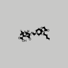 CCCCN1C(=O)CSC12CCN(C=N[C@@H]1C(=O)N3[C@@H]1SC(C)(C)[C@@H]3C(=O)O)CC2